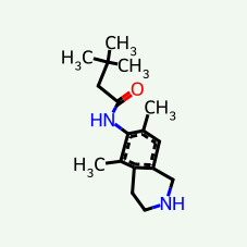 Cc1cc2c(c(C)c1NC(=O)CC(C)(C)C)CCNC2